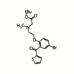 CN(CCOc1ccc(Br)cc1C(=O)c1cccs1)CC(=O)OC(C)(C)C